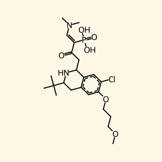 COCCCOc1cc2c(cc1Cl)C(CC(=O)/C(=C/N(C)C)P(=O)(O)O)NC(C(C)(C)C)C2